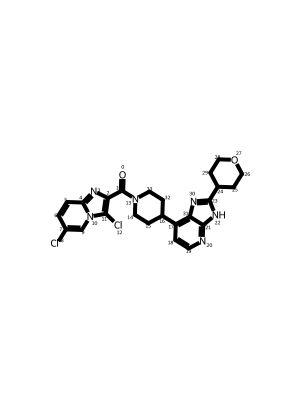 O=C(c1nc2ccc(Cl)cn2c1Cl)N1CCC(c2ccnc3[nH]c(C4CCOCC4)nc23)CC1